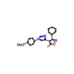 CSc1ccc(-n2cnc(-c3c(-c4ccccc4)noc3C)c2)cc1